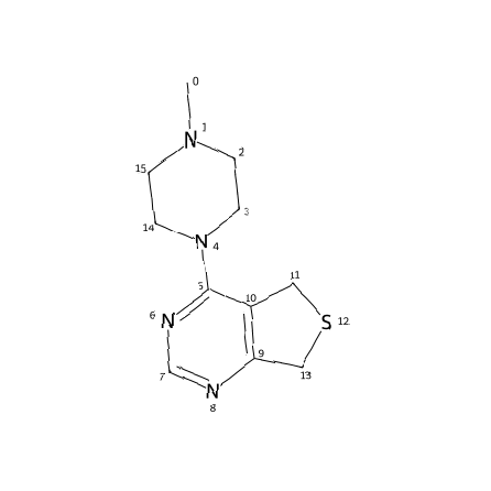 CN1CCN(c2ncnc3c2CSC3)CC1